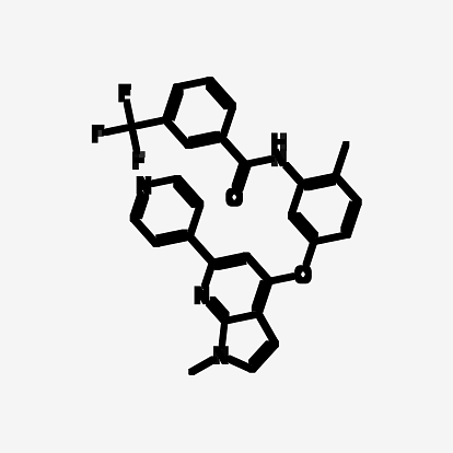 Cc1ccc(Oc2cc(-c3ccncc3)nc3c2ccn3C)cc1NC(=O)c1cccc(C(F)(F)F)c1